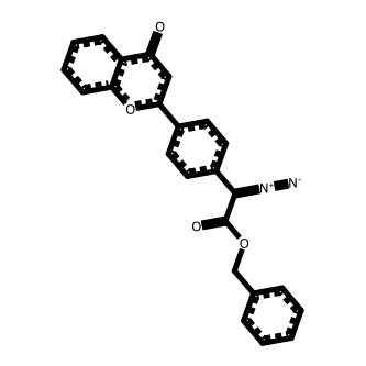 [N-]=[N+]=C(C(=O)OCc1ccccc1)c1ccc(-c2cc(=O)c3ccccc3o2)cc1